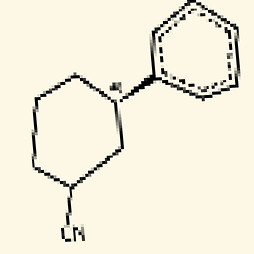 N#CC1CCC[C@@H](c2ccccc2)C1